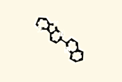 c1ccc2nc(-c3ccc4c(n3)sc3cccnc34)ccc2c1